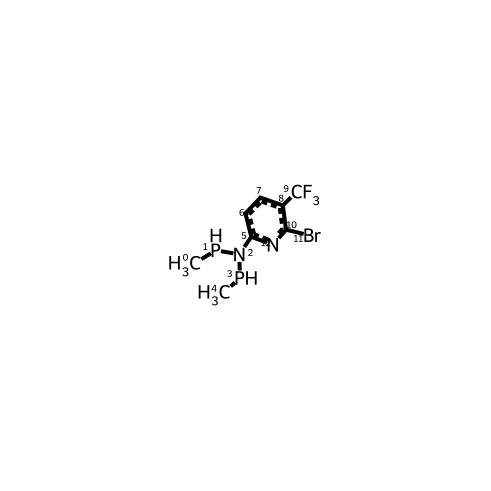 CPN(PC)c1ccc(C(F)(F)F)c(Br)n1